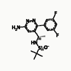 C[C@H](N[S@+]([O-])C(C)(C)C)c1cc(N)nnc1-c1cc(F)cc(F)c1